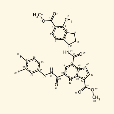 COC(=O)c1ccc2c(c1C)CC[C@@H]2NC(=O)c1cc(C(=O)NCc2ccc(F)c(F)c2)nc2c(C(=O)OC)cnn12